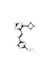 Nc1nc(C=Cc2ncoc2C2CCC2)cs1